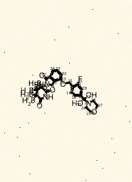 BC1(B)C(=O)NC(=O)C(B)(N2Cc3c(OCc4ccc(C(O)(O)N5CCOCC5)cc4F)cccc3C2=O)C1(B)B